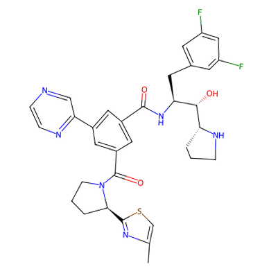 Cc1csc([C@H]2CCCN2C(=O)c2cc(C(=O)N[C@@H](Cc3cc(F)cc(F)c3)[C@H](O)[C@H]3CCCN3)cc(-c3cnccn3)c2)n1